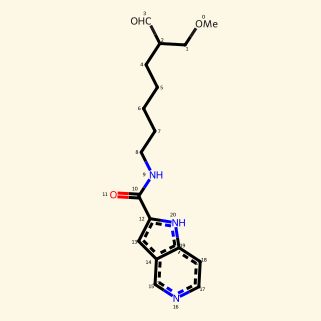 COCC(C=O)CCCCCNC(=O)c1cc2cnccc2[nH]1